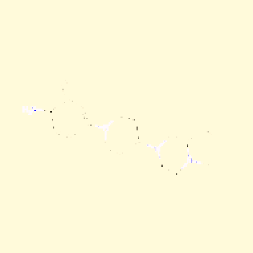 COc1cc(N2CCC(N3CCN(C(=O)O)C(C(C)(C)C)C3)CC2)c(C)cc1N